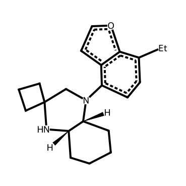 CCc1ccc(N2CC3(CCC3)N[C@H]3CCCC[C@H]32)c2ccoc12